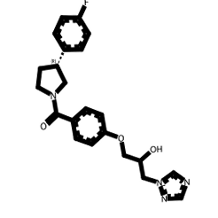 O=C(c1ccc(OCC(O)Cn2cncn2)cc1)N1CC[C@H](c2ccc(F)cc2)C1